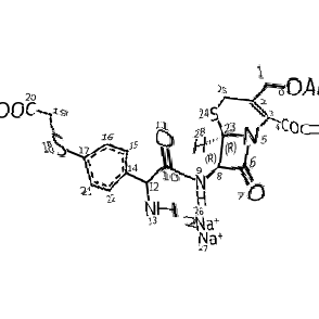 CC(=O)OCC1=C(C(=O)[O-])N2C(=O)[C@@H](NC(=O)C(N)c3ccc(SCC(=O)[O-])cc3)[C@H]2SC1.[Na+].[Na+]